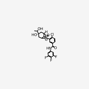 CC(O)[C@]1(O)CC2C(S(=O)(=O)c3cc(C(=O)Nc4cc(F)c(F)c(F)c4)ccc3Cl)[C@@H](C[C@@H]2C)C1